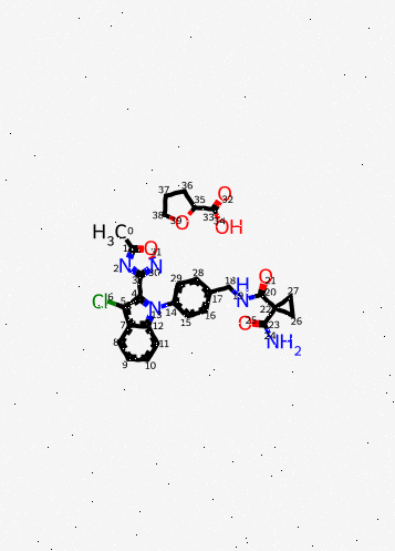 Cc1nc(-c2c(Cl)c3ccccc3n2-c2ccc(CNC(=O)C3(C(N)=O)CC3)cc2)no1.O=C(O)C1CCCO1